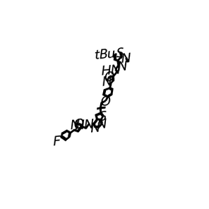 CC(C)(C)c1cc2c(NCc3cc(-c4ccc(OCC(C)(C)c5cc6c(NCc7cc(-c8ccc(F)cc8)no7)ncnc6s5)cc4)no3)ncnc2s1